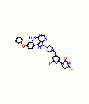 Nc1ncnc2c1c(-c1ccc(Oc3ccccc3)cc1)nn2C1CCN(Cc2cc(F)nc(N3CCC(=O)NC3=O)c2)CC1